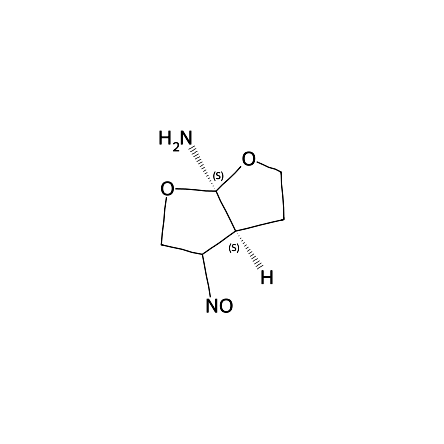 N[C@]12OCC[C@H]1C(N=O)CO2